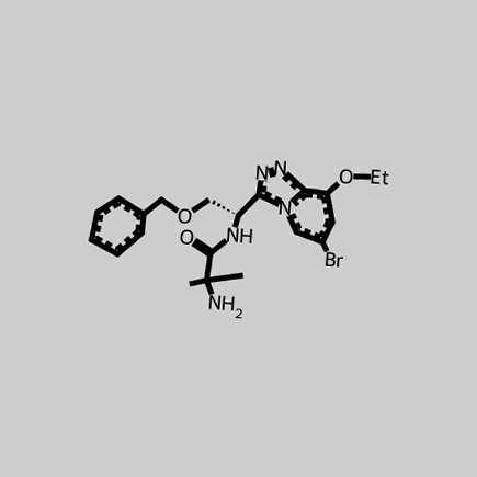 CCOc1cc(Br)cn2c([C@@H](COCc3ccccc3)NC(=O)C(C)(C)N)nnc12